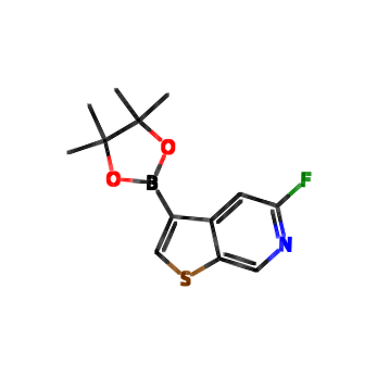 CC1(C)OB(c2csc3cnc(F)cc23)OC1(C)C